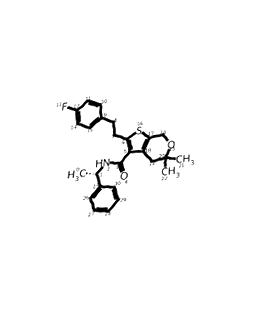 C[C@H](NC(=O)c1c(CCc2ccc(F)cc2)sc2c1CC(C)(C)OC2)c1ccccc1